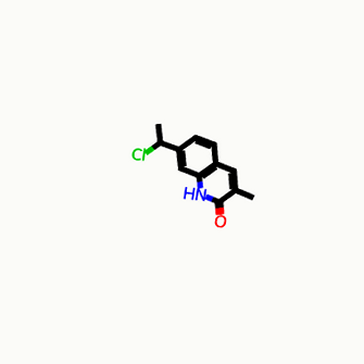 Cc1cc2ccc(C(C)Cl)cc2[nH]c1=O